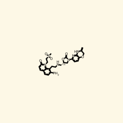 C=C1COc2ccc(N3C[C@H](CNCCc4c(P)ccc5ccc(=O)n(CCS(C)(=O)=O)c45)OC3=O)nc2N1